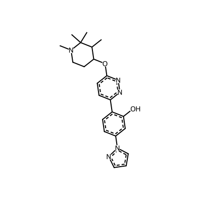 CC1C(Oc2ccc(-c3ccc(-n4cccn4)cc3O)nn2)CCN(C)C1(C)C